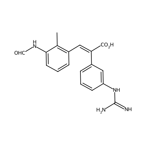 Cc1c(C=C(C(=O)O)c2cccc(NC(=N)N)c2)cccc1NC=O